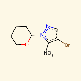 O=[N+]([O-])c1c(Br)cnn1C1CCCCO1